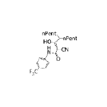 CCCCCC(CCCCC)C(O)=C(C#N)C(=O)Nc1ccc(C(F)(F)F)cc1